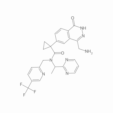 CC(c1ncccn1)N(Cc1ccc(C(F)(F)F)cn1)C(=O)C1(c2ccc3c(=O)[nH]nc(CN)c3c2)CC1